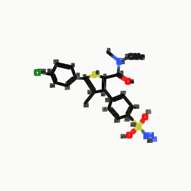 CON(C)C(=O)c1sc(-c2ccc(Cl)cc2)c(C)c1-c1ccc(S(N)(=O)=O)cc1